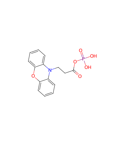 O=C(CCN1c2ccccc2Oc2ccccc21)OP(=O)(O)O